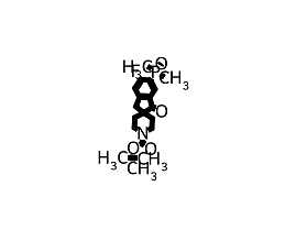 CC(C)(C)OC(=O)N1CCC2(CC1)Cc1cc(F)c(P(C)(C)=O)cc1C2=O